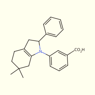 CC1(C)CCC2=C(C1)N(c1cccc(C(=O)O)c1)C(c1ccccc1)C2